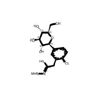 CN/N=C(\S)Cc1cc([C@@H]2O[C@H](CO)[C@@H](O)[C@H](O)[C@H]2O)ccc1Cl